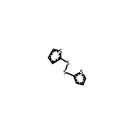 c1csc(SSc2cccs2)c1